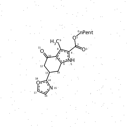 CCCCCOC(=O)c1[nH]c2c(c1C)C(=O)CC(c1ncco1)C2